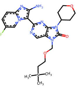 C[Si](C)(C)CCOCn1c(=O)n(C2CCOCC2)c2nc(-c3c(N)nc4ccc(F)cn34)ncc21